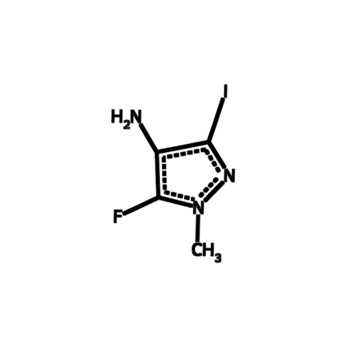 Cn1nc(I)c(N)c1F